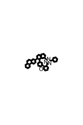 c1ccc(-c2nc(-c3ccccc3)nc(-c3cccc4oc5ccc(-c6ccccc6-c6ccc7c(ccc8ccccc87)c6)cc5c34)n2)cc1